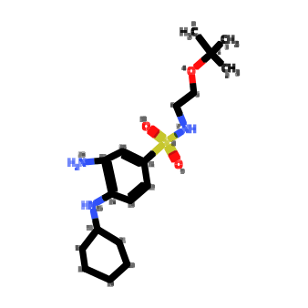 CC(C)(C)OCCNS(=O)(=O)c1ccc(NC2CCCCC2)c(N)c1